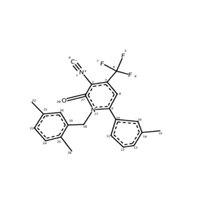 [C-]#[N+]c1c(C(F)(F)F)cc(-c2cccc(C)c2)n(Cc2cc(C)ccc2C)c1=O